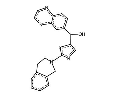 OC(c1ccc2nccnc2c1)c1cnc(N2CCc3ccccc3C2)s1